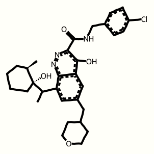 CC(c1cc(CC2CCOCC2)cc2c(O)c(C(=O)NCc3ccc(Cl)cc3)nnc12)[C@@]1(O)CCCC[C@H]1C